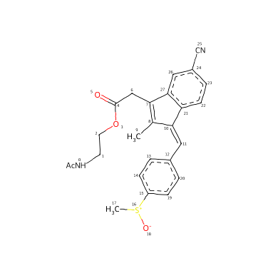 CC(=O)NCCOC(=O)CC1=C(C)C(=Cc2ccc([S+](C)[O-])cc2)c2ccc(C#N)cc21